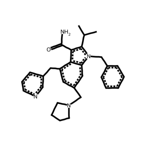 CC(C)c1c(C(N)=O)c2c(Cc3cccnc3)cc(CN3CCCC3)cc2n1Cc1ccccc1